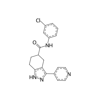 O=C(Nc1cccc(Cl)c1)C1CCc2[nH]nc(-c3ccncc3)c2C1